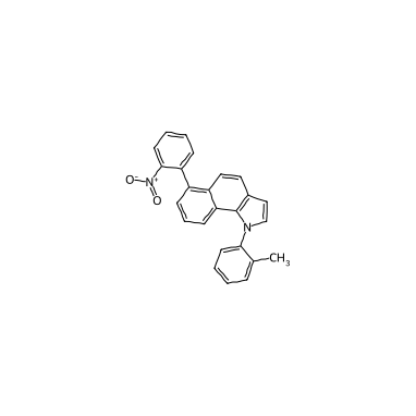 Cc1ccccc1-n1ccc2ccc3c(-c4ccccc4[N+](=O)[O-])cccc3c21